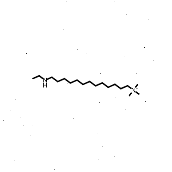 CCNCCCCCCCCCCCCC[N+](C)(C)C